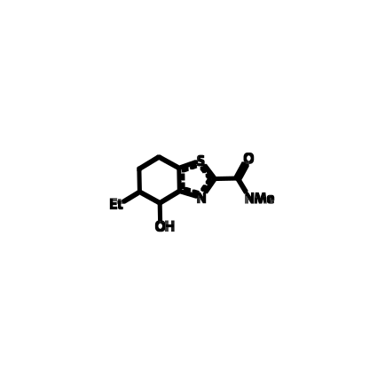 CCC1CCc2sc(C(=O)NC)nc2C1O